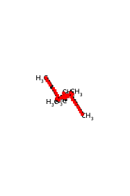 CCCCCCCCCCCCCCCCc1cc(C)sc1-c1cc2c(CC)c3sc(-c4sc(C)cc4CCCCCCCCCCCCCCCC)cc3c(CC)c2s1